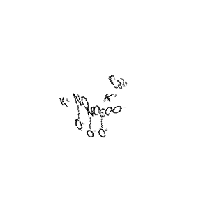 O=C([O-])[O-].O=[N+]([O-])[O-].O=[N+]([O-])[O-].[Ca+2].[K+].[K+]